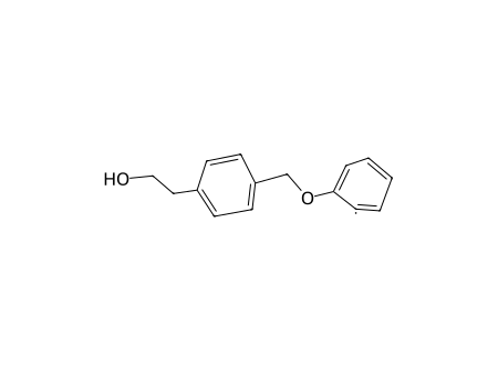 OCCc1ccc(COc2[c]cccc2)cc1